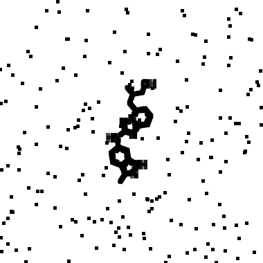 Cc1n[nH]c2cc(Nc3nc4cccc(CC(C)CO)n4n3)ccc12